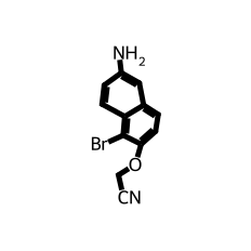 N#CCOc1ccc2cc(N)ccc2c1Br